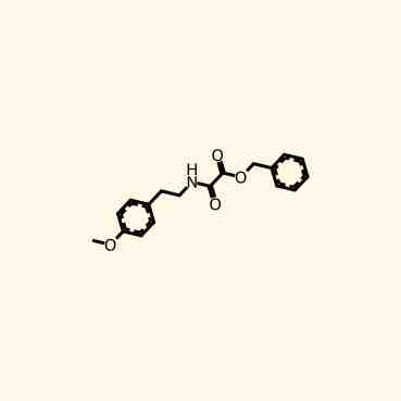 COc1ccc(CCNC(=O)C(=O)OCc2ccccc2)cc1